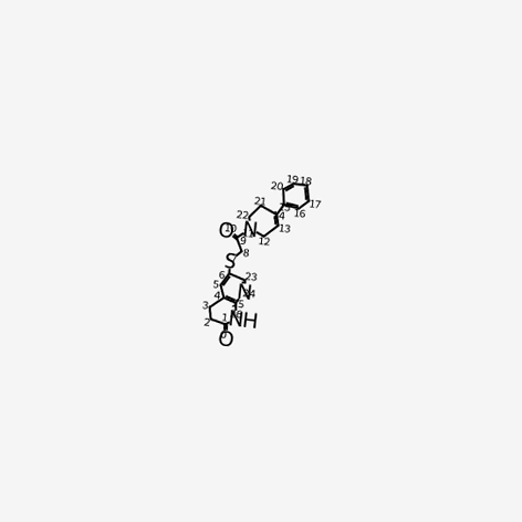 O=C1CCc2cc(SCC(=O)N3CC=C(c4ccccc4)CC3)cnc2N1